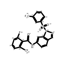 O=C(Nc1ccc2cnn(S(=O)(=O)c3cccc(C(F)(F)F)c3)c2c1)c1c(F)cccc1C(F)(F)F